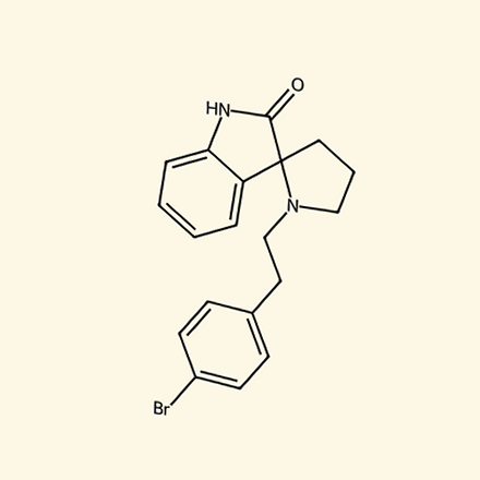 O=C1Nc2ccccc2C12CCCN2CCc1ccc(Br)cc1